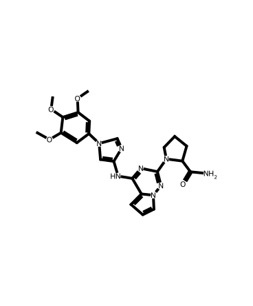 COc1cc(-n2cnc(Nc3nc(N4CCCC4C(N)=O)nn4cccc34)c2)cc(OC)c1OC